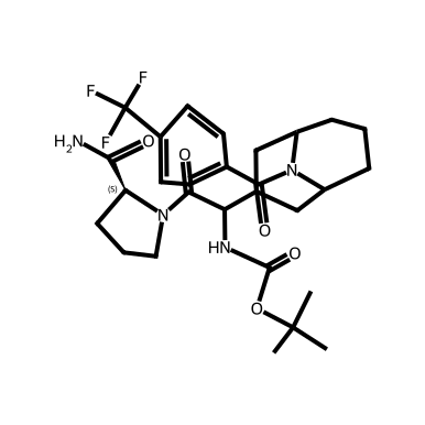 CC(C)(C)OC(=O)NC(C(=O)N1CCC[C@H]1C(N)=O)C1CC2CCCC(C1)N2C(=O)c1ccc(C(F)(F)F)cc1